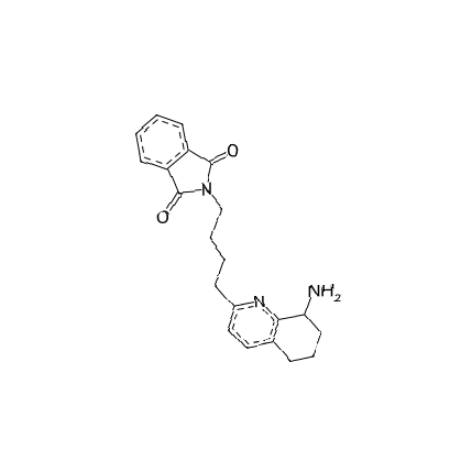 NC1CCCc2ccc(CCCCN3C(=O)c4ccccc4C3=O)nc21